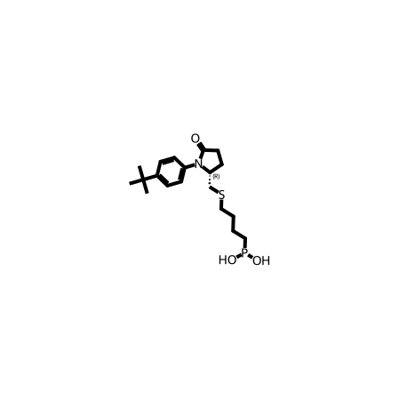 CC(C)(C)c1ccc(N2C(=O)CC[C@@H]2CSCCCCP(O)O)cc1